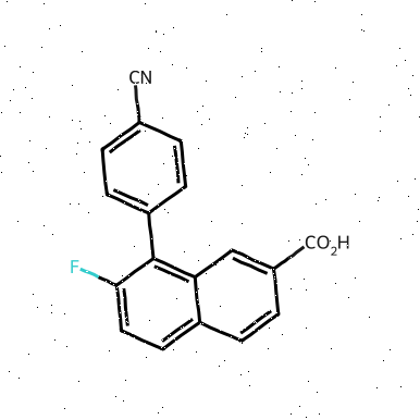 N#Cc1ccc(-c2c(F)ccc3ccc(C(=O)O)cc23)cc1